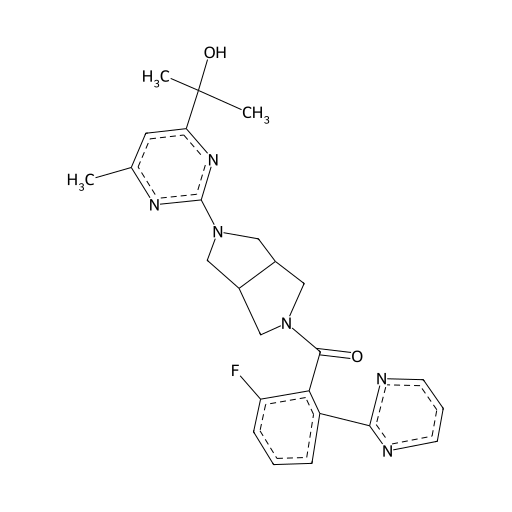 Cc1cc(C(C)(C)O)nc(N2CC3CN(C(=O)c4c(F)cccc4-c4ncccn4)CC3C2)n1